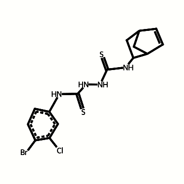 S=C(NNC(=S)NC1CC2C=CC1C2)Nc1ccc(Br)c(Cl)c1